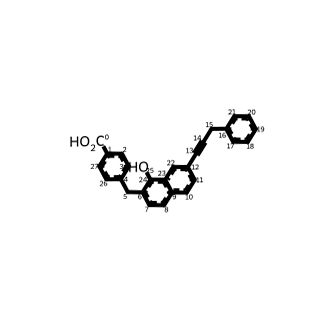 O=C(O)c1ccc(Cc2ccc3ccc(C#CCc4ccccc4)cc3c2O)cc1